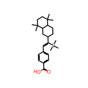 CC1(C)CCC(C)(C)C2CC(C(=Cc3ccc(C(=O)O)cc3)[Si](C)(C)C)CCC21